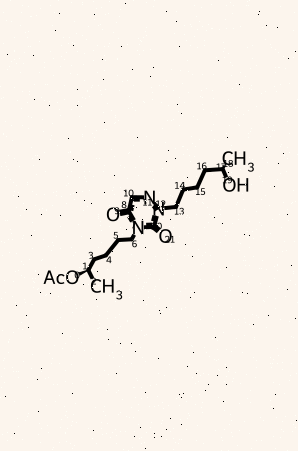 CC(=O)O[C@H](C)CCCCn1c(=O)cnn(CCCC[C@@H](C)O)c1=O